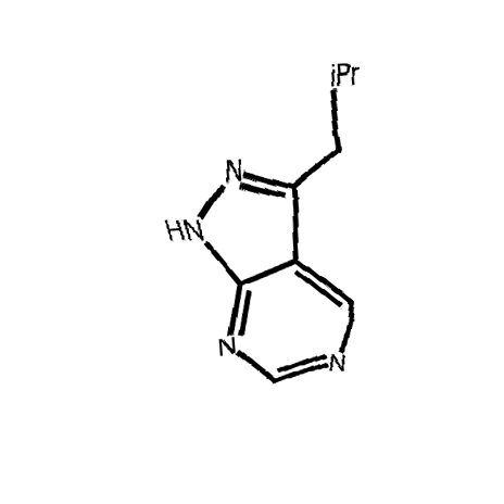 CC(C)Cc1n[nH]c2ncncc12